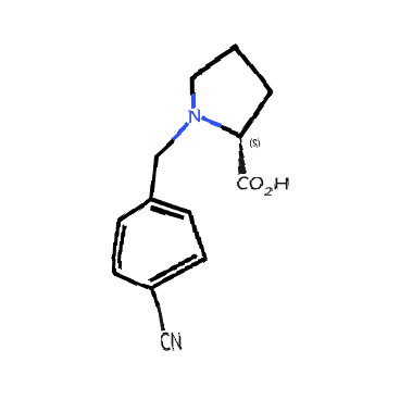 N#Cc1ccc(CN2CCC[C@H]2C(=O)O)cc1